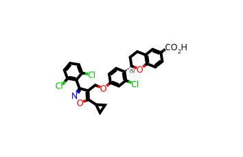 O=C(O)c1ccc2c(c1)CC[C@@H](c1ccc(OCc3c(-c4c(Cl)cccc4Cl)noc3C3CC3)cc1Cl)O2